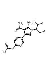 NC(=O)c1c(-c2ccc(CC(=O)O)cc2)nn(C(CF)C(F)F)c1N